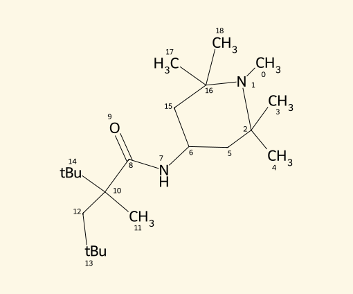 CN1C(C)(C)CC(NC(=O)C(C)(CC(C)(C)C)C(C)(C)C)CC1(C)C